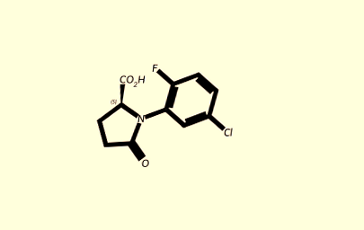 O=C(O)[C@@H]1CCC(=O)N1c1cc(Cl)ccc1F